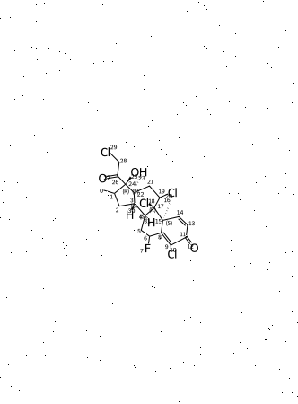 CC1C[C@H]2[C@@H]3CC(F)C4=C(Cl)C(=O)C=C[C@]4(C)[C@@]3(Cl)C(Cl)C[C@]2(C)[C@@]1(O)C(=O)CCl